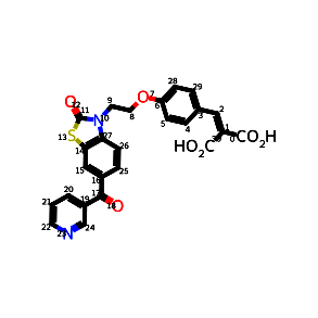 O=C(O)C(=Cc1ccc(OCCn2c(=O)sc3cc(C(=O)c4cccnc4)ccc32)cc1)C(=O)O